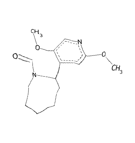 COc1cc(C2CCCCCN2C=O)c(OC)cn1